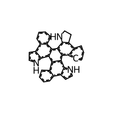 c1ccc2c(c1)c1c(c3c2c2c4[nH]ccc4c4ccccc4c2c2c4[nH]ccc4c4ccccc4c32)NCC1